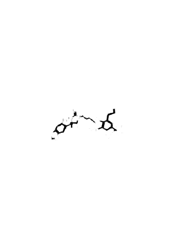 CC=Cc1cc(C(O)(C(F)(F)F)C(F)(F)F)cc(CCC)c1OCCCCN1C(=O)NC(C)(c2ccc3c(c2)OCO3)C1=O